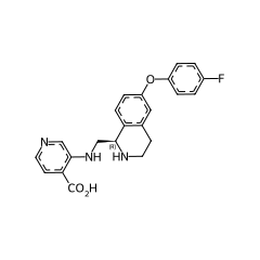 O=C(O)c1ccncc1NC[C@@H]1NCCc2cc(Oc3ccc(F)cc3)ccc21